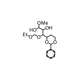 CCOCOC(C1CCOC(c2ccccc2)O1)C(O)C(O)OC